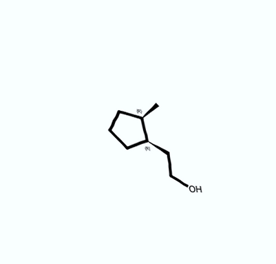 C[C@@H]1CCC[C@@H]1CCO